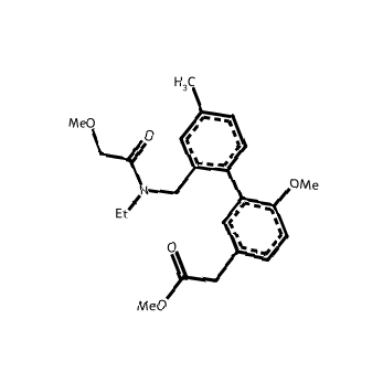 CCN(Cc1cc(C)ccc1-c1cc(CC(=O)OC)ccc1OC)C(=O)COC